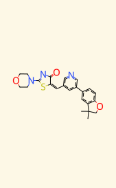 CC1(C)COc2ccc(-c3cncc(C=C4SC(N5CCOCC5)=NC4=O)c3)cc21